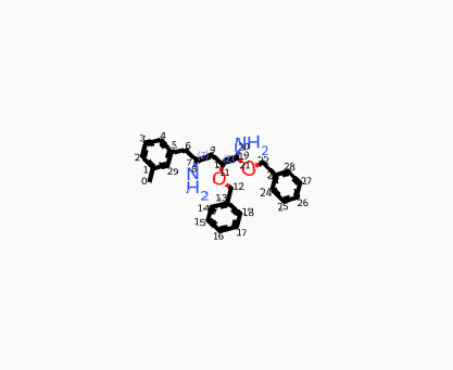 Cc1cccc(C/C(N)=C/C(OCc2ccccc2)=C(\N)OCc2ccccc2)c1